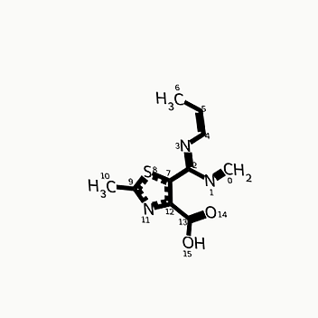 C=N/C(=N\C=C/C)c1sc(C)nc1C(=O)O